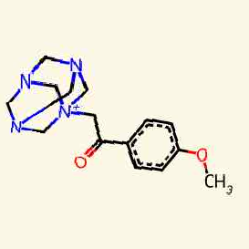 COc1ccc(C(=O)C[N+]23CN4CN(CN(C4)C2)C3)cc1